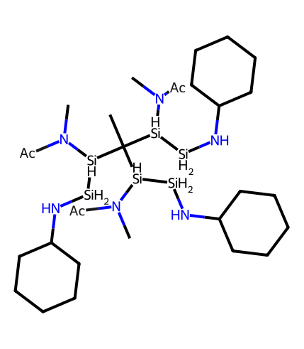 CC(=O)N(C)[SiH]([SiH2]NC1CCCCC1)C(C)([SiH]([SiH2]NC1CCCCC1)N(C)C(C)=O)[SiH]([SiH2]NC1CCCCC1)N(C)C(C)=O